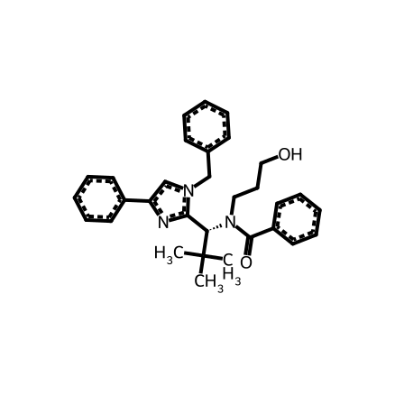 CC(C)(C)[C@H](c1nc(-c2ccccc2)cn1Cc1ccccc1)N(CCCO)C(=O)c1ccccc1